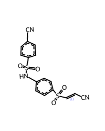 N#C/C=C/S(=O)(=O)c1ccc(NS(=O)(=O)c2ccc(C#N)cc2)cc1